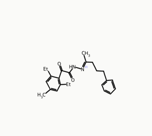 CCc1cc(C)cc(CC)c1C(=O)C(=O)N/N=C(\C)CCCc1ccccc1